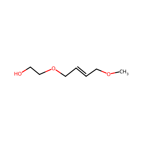 COCC=CCOCCO